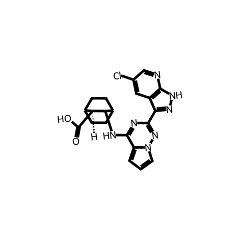 O=C(O)[C@H]1C2CCC(CC2)C1Nc1nc(-c2n[nH]c3ncc(Cl)cc23)nn2cccc12